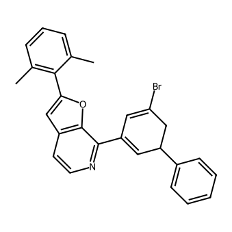 Cc1cccc(C)c1-c1cc2ccnc(C3=CC(c4ccccc4)CC(Br)=C3)c2o1